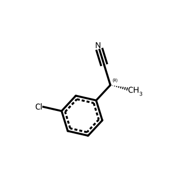 C[C@@H](C#N)c1cccc(Cl)c1